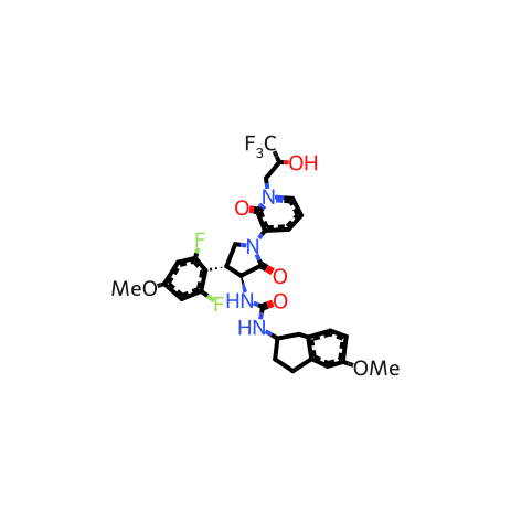 COc1cc(F)c([C@@H]2CN(c3cccn(CC(O)C(F)(F)F)c3=O)C(=O)[C@H]2NC(=O)NC2CCc3cc(OC)ccc3C2)c(F)c1